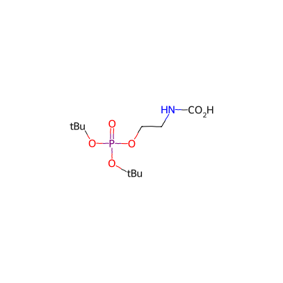 CC(C)(C)OP(=O)(OCCNC(=O)O)OC(C)(C)C